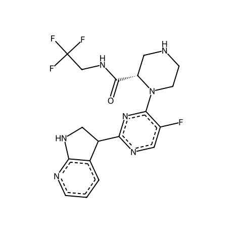 O=C(NCC(F)(F)F)[C@@H]1CNCCN1c1nc(C2CNc3ncccc32)ncc1F